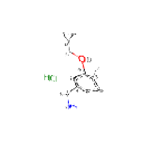 Cc1ccc(C(C)N)cc1OCC1CC1.Cl